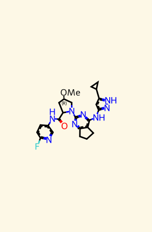 CO[C@@H]1CC(C(=O)Nc2ccc(F)nc2)N(c2nc3c(c(Nc4cc(C5CC5)[nH]n4)n2)CCC3)C1